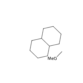 C1CCC2CCCCC2C1.COC